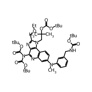 CCOCc1nc2c(N(C(=O)OC(C)(C)C)C(=O)OC(C)(C)C)nc3cc(N(C)c4cccc(CNC(=O)OC(C)(C)C)c4)ccc3c2n1CC(C)(C)OC(=O)OC(C)(C)C